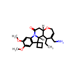 CCC1C(CN)=CCO[C@H]2CC(=O)N3c4cc(OC)c(OC)cc4C4(CCC4)[C@H]3C12